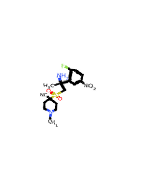 CN1CCC(C#N)(S(=O)(=O)C[C@](C)(N)c2cc([N+](=O)[O-])ccc2F)CC1